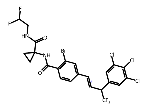 O=C(NC1(C(=O)NCC(F)F)CC1)c1ccc(/C=C/C(c2cc(Cl)c(Cl)c(Cl)c2)C(F)(F)F)cc1Br